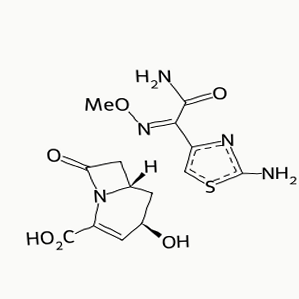 CON=C(C(N)=O)c1csc(N)n1.O=C(O)C1=C[C@H](O)C[C@H]2CC(=O)N12